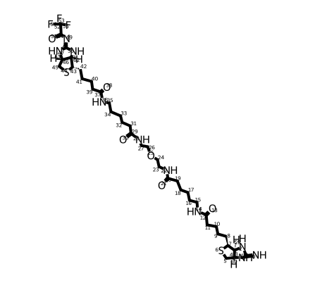 N=C1N[C@H]2[C@H](CS[C@H]2CCCCC(=O)NCCCCCC(=O)NCCOCCNC(=O)CCCCCNC(=O)CCCC[C@@H]2SC[C@@H]3N/C(=N\C(=O)C(F)(F)F)N[C@@H]32)N1